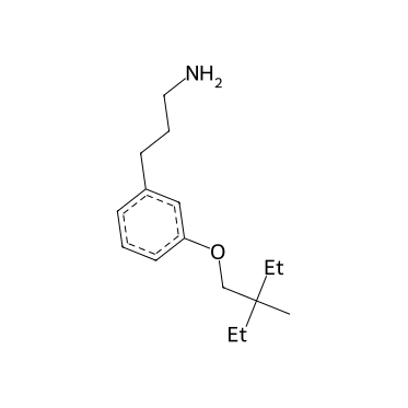 CCC(C)(CC)COc1cccc(CCCN)c1